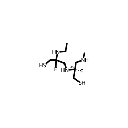 CCNC(F)(CS)CN[C@](F)(CS)CNC